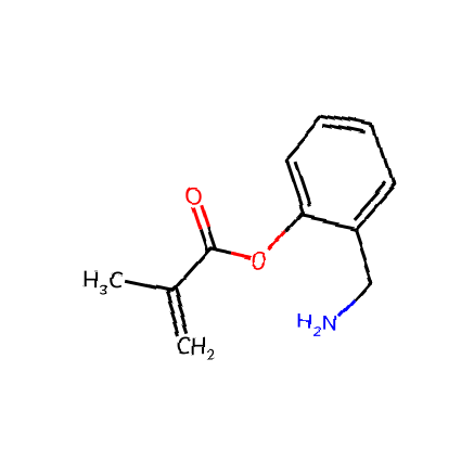 C=C(C)C(=O)Oc1ccccc1CN